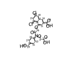 O=C(O)CON(C(=O)COc1cc(C(=O)O)cc2cc(Cl)cc(Cl)c12)c1ccc(CO)cc1